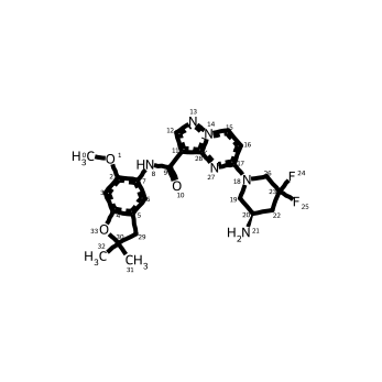 COc1cc2c(cc1NC(=O)c1cnn3ccc(N4C[C@H](N)CC(F)(F)C4)nc13)CC(C)(C)O2